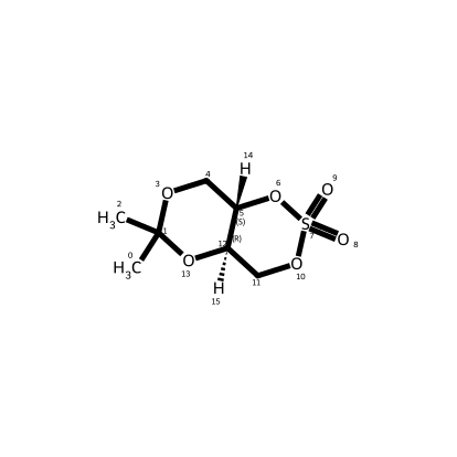 CC1(C)OC[C@@H]2OS(=O)(=O)OC[C@H]2O1